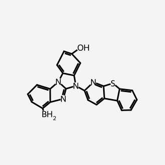 Bc1cccc2c1nc1n(-c3ccc4c(n3)sc3ccccc34)c3cc(O)ccc3n21